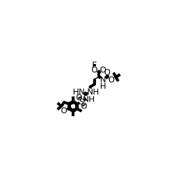 Cc1c(C)c(S(=O)(=O)NC(=N)NCCC[C@H](NC(=O)OC(C)(C)C)C(=O)OF)c(C)c2c1OC(C)(C)C2